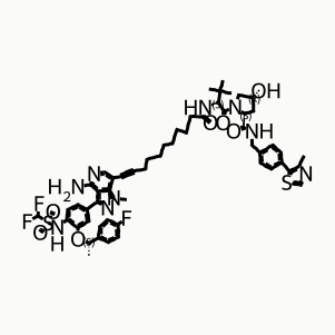 Cc1ncsc1-c1ccc(CNC(=O)[C@@H]2C[C@@H](O)CN2C(=O)[C@@H](NC(=O)CCCCCCCCC#Cc2cnc(N)c3c(-c4ccc(NS(=O)(=O)C(F)F)c(O[C@@H](C)c5ccc(F)cc5)c4)nn(C)c23)C(C)(C)C)cc1